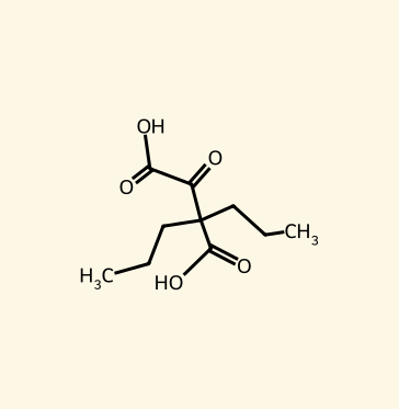 CCCC(CCC)(C(=O)O)C(=O)C(=O)O